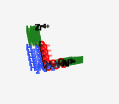 Cl.Cl.Cl.Cl.Cl.Cl.Cl.Cl.Cl.Cl.Cl.Cl.Cl.Cl.Cl.Cl.Cl.Cl.Cl.Cl.Cl.NCC(=O)[O-].NCC(=O)[O-].NCC(=O)[O-].NCC(=O)[O-].NCC(=O)[O-].NCC(=O)[O-].NCC(=O)[O-].[Al+3].[Zr+4]